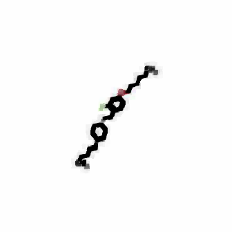 C=CCCCCOc1ccc(CC[C@H]2CC[C@H](CCCCC)CC2)c(F)c1